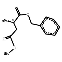 C=C(OCc1ccccc1)[C@H](CCC)CC(=O)OC(C)(C)C